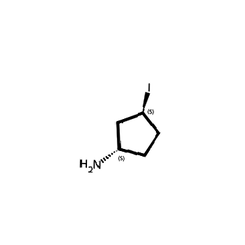 N[C@H]1CC[C@H](I)C1